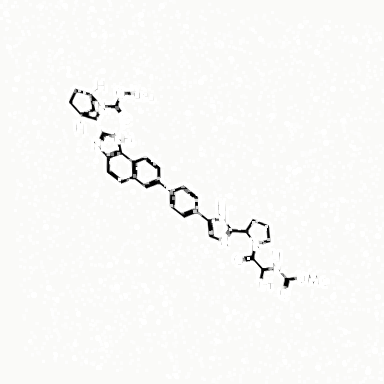 COC(=O)NC(C(=O)N1CCCC1c1ncc(-c2ccc(-c3ccc4c(ccc5nc([C@@H]6[C@H]7CC[C@H](C7)N6C(=O)OC(C)(C)C)[nH]c54)c3)cc2)[nH]1)C(C)C